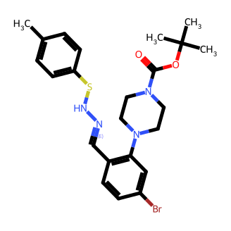 Cc1ccc(SN/N=C/c2ccc(Br)cc2N2CCN(C(=O)OC(C)(C)C)CC2)cc1